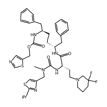 CC(C)c1nc(CN(C)C(=O)N[C@@H](CCN2CCCC(F)(F)C2)C(=O)N[C@H](CC[C@H](Cc2ccccc2)NC(=O)OCc2cncs2)Cc2ccccc2)cs1